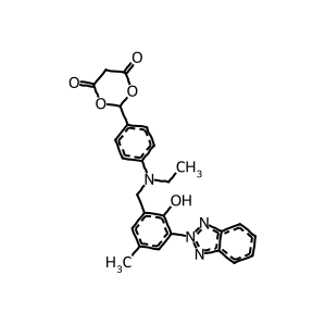 CCN(Cc1cc(C)cc(-n2nc3ccccc3n2)c1O)c1ccc(C2OC(=O)CC(=O)O2)cc1